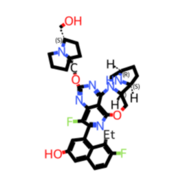 CCc1c(F)ccc2cc(O)cc(-c3nc4c5c(nc(OC[C@@]67CCCN6[C@H](CO)CC7)nc5c3F)N3C[C@H]5CC[C@H](N5)[C@@H]3CO4)c12